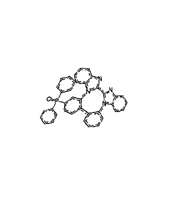 O=P(c1ccccc1)(c1ccccc1)c1ccc2c3ccccc3n3c4ccccc4nc3c3nc4ccccc4n3c2c1